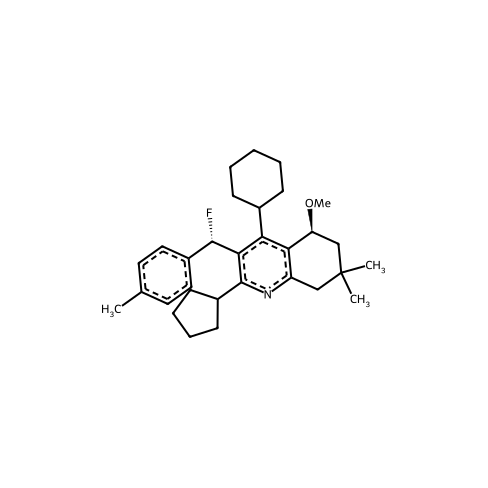 CO[C@H]1CC(C)(C)Cc2nc(C3CCCC3)c([C@@H](F)c3ccc(C)cc3)c(C3CCCCC3)c21